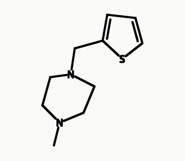 CN1CCN(Cc2cccs2)CC1